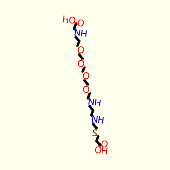 O=C(O)CCSCCNCCCNCCOCCOCCOCCOCCCNCC(=O)O